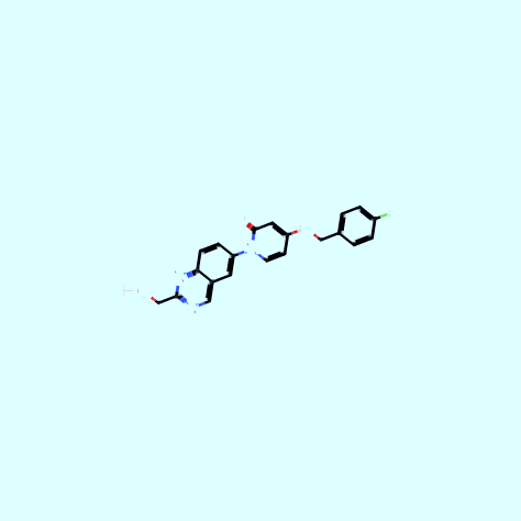 O=c1cc(OCc2ccc(F)cc2)ccn1-c1ccc2nc(CO)ncc2c1